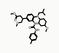 COCC(CC(=O)OC)c1ccc(N(CC(C)C)C2CCC(OC)CC2)c(NC(=O)Nc2ccc(C)cc2)c1